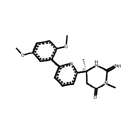 COc1ccc(OC)c(-c2cccc([C@]3(C)CC(=O)N(C)C(=N)N3)n2)c1